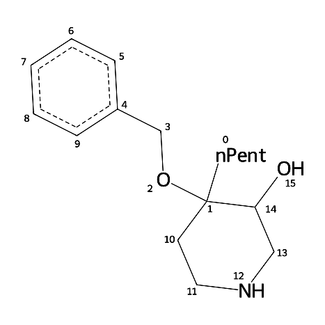 CCCCCC1(OCc2ccccc2)CCNCC1O